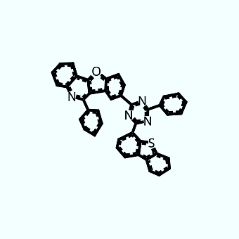 c1ccc(-c2nc(-c3ccc4oc5c6ccccc6nc(-c6ccccc6)c5c4c3)nc(-c3cccc4c3sc3ccccc34)n2)cc1